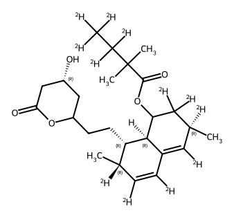 [2H]C1=C([2H])[C@]([2H])(C)[C@H](CCC2C[C@@H](O)CC(=O)O2)[C@@H]2C1=C([2H])[C@]([2H])(C)C([2H])([2H])C2OC(=O)C(C)(C)C([2H])([2H])C([2H])([2H])[2H]